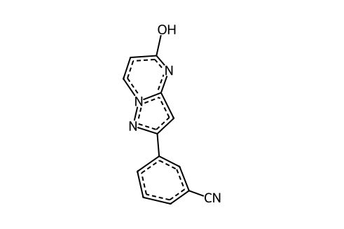 N#Cc1cccc(-c2cc3nc(O)ccn3n2)c1